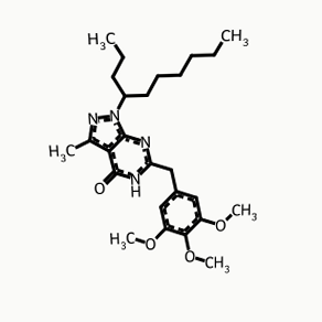 CCCCCCC(CCC)n1nc(C)c2c(=O)[nH]c(Cc3cc(OC)c(OC)c(OC)c3)nc21